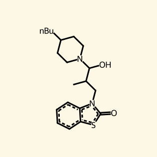 CCCCC1CCN(C(O)C(C)Cn2c(=O)sc3ccccc32)CC1